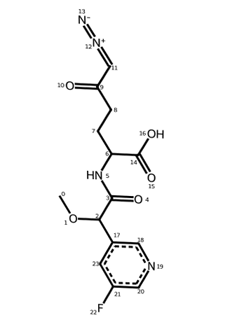 COC(C(=O)NC(CCC(=O)C=[N+]=[N-])C(=O)O)c1cncc(F)c1